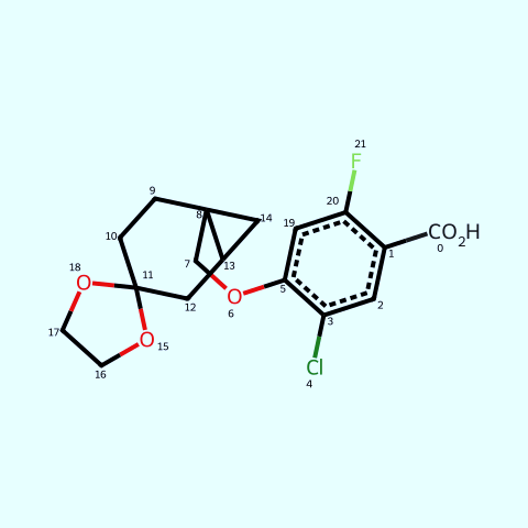 O=C(O)c1cc(Cl)c(OCC23CCC4(CC2C3)OCCO4)cc1F